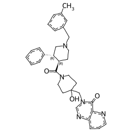 Cc1cccc(CN2CC[C@@H](C(=O)N3CCC(O)(Cn4cnc5cccnc5c4=O)CC3)[C@H](c3ccccc3)C2)c1